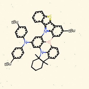 CC(C)(C)c1ccc(N(c2ccc(C(C)(C)C)cc2)c2cc3c4c(c2)-n2c5c(cc(C(C)(C)C)cc5c5sc6ccccc6c52)B4c2cccc4c2N3C2(C)CCCCC42C)cc1